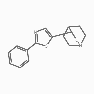 c1ccc(-c2ncc(C3CN4CCC3CC4)s2)cc1